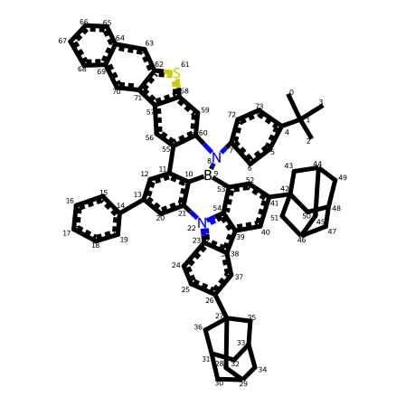 CC(C)(C)c1ccc(N2B3c4c(cc(-c5ccccc5)cc4-n4c5ccc(C67CC8CC(CC(C8)C6)C7)cc5c5cc(C67CC8CC(CC(C8)C6)C7)cc3c54)-c3cc4c(cc32)sc2cc3ccccc3cc24)cc1